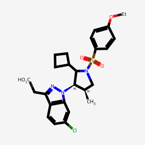 CCOc1ccc(S(=O)(=O)N2C[C@@H](C)[C@@H](n3nc(CC(=O)O)c4ccc(Cl)cc43)C2C2CCC2)cc1